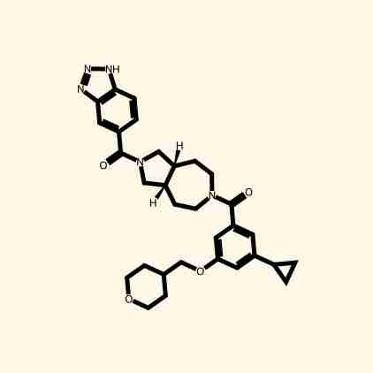 O=C(c1cc(OCC2CCOCC2)cc(C2CC2)c1)N1CC[C@@H]2CN(C(=O)c3ccc4[nH]nnc4c3)C[C@@H]2CC1